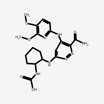 COc1ccc(Nc2cc(NC3CCCCC3NC(=O)O)nnc2C(N)=O)nc1OC